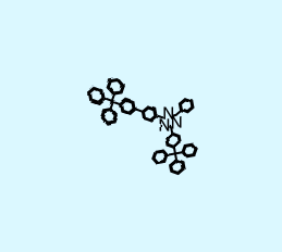 c1ccc(-c2nc(-c3ccc(-c4ccc(C(c5ccccc5)(c5ccccc5)c5ccccc5)cc4)cc3)nc(-c3ccc(C(c4ccccc4)(c4ccccc4)c4ccccc4)cc3)n2)cc1